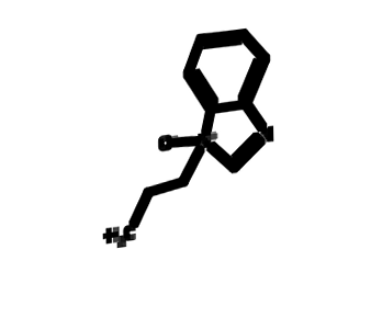 [CH2]CC[N+]1([O-])C=Nc2ccccc21